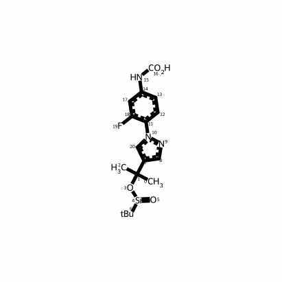 CC(C)(O[Si](=O)C(C)(C)C)c1cnn(-c2ccc(NC(=O)O)cc2F)c1